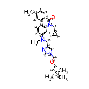 Cc1ccc(C(=O)N(CC2CC2)c2cccc(N(C)Cc3cn(COCC[Si](C)(C)C)cn3)c2)cc1